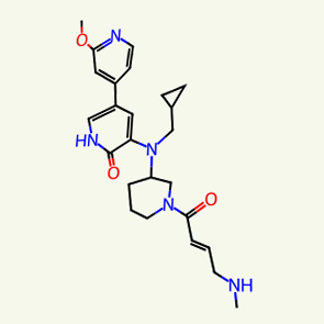 CNC/C=C/C(=O)N1CCCC(N(CC2CC2)c2cc(-c3ccnc(OC)c3)c[nH]c2=O)C1